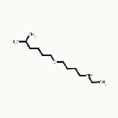 CCNCCCCOCCCCC(C)C